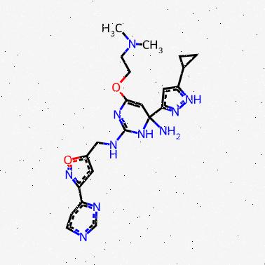 CN(C)CCOC1=CC(N)(c2cc(C3CC3)[nH]n2)NC(NCc2cc(-c3ccncn3)no2)=N1